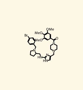 COc1cc(C(=O)N2CCN(Cc3c[nH]c(NCC4CCCN4Cc4ccc(Br)cc4)n3)CC2)cc(OC)c1OC